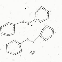 S.c1ccc(SSc2ccccc2)cc1.c1ccc(SSc2ccccc2)cc1